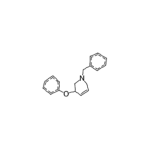 C1=CC(Oc2ccccc2)CN(Cc2ccccc2)C1